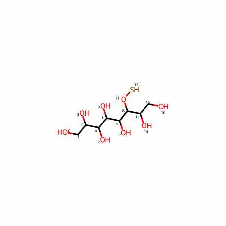 OCC(O)C(O)C(O)C(O)C(OS)C(O)CO